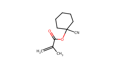 C=C(C)C(=O)OC1(C#N)CCCCC1